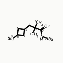 CC(C)(C)NC(=O)C(C)(C)CC1CC(C(C)(C)C)C1